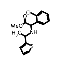 COC(=O)C(NC(C)c1cccs1)c1ccccc1Cl